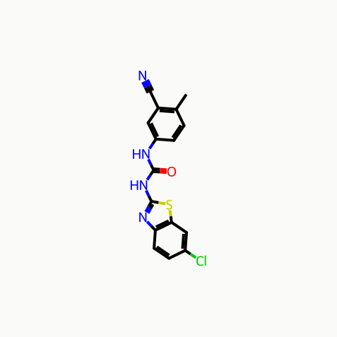 Cc1ccc(NC(=O)Nc2nc3ccc(Cl)cc3s2)cc1C#N